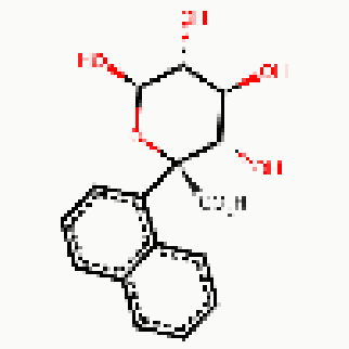 O=C(O)[C@@]1(c2cccc3ccccc23)O[C@@H](O)[C@H](O)[C@@H](O)[C@@H]1O